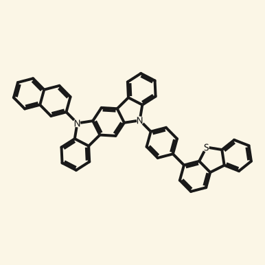 c1ccc2cc(-n3c4ccccc4c4cc5c(cc43)c3ccccc3n5-c3ccc(-c4cccc5c4sc4ccccc45)cc3)ccc2c1